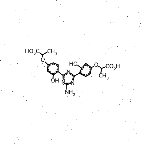 CC(Oc1ccc(-c2nc(N)nc(-c3ccc(OC(C)C(=O)O)cc3O)n2)c(O)c1)C(=O)O